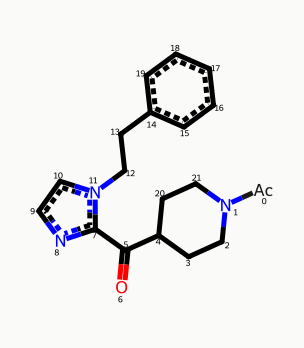 CC(=O)N1CCC(C(=O)c2nccn2CCc2ccccc2)CC1